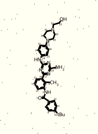 Cc1c(NC(=O)c2ccc(C(C)(C)C)cc2)cccc1-c1nc(N)nc(Nc2ccc(N3CCN(CCO)CC3)cc2)n1